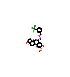 COc1cc2c(cc1O)C(=NOCc1cccc(C(F)(F)F)c1)C[C@@H]1[C@@H]2CC[C@]2(C)[C@@H](O)CC[C@@H]12